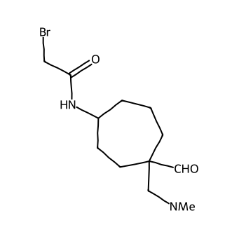 CNCC1(C=O)CCCC(NC(=O)CBr)CC1